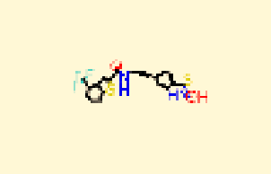 O=C(NCC#Cc1ccc(C(=S)NO)cc1)c1cc2c(C(F)(F)F)cccc2s1